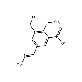 CN=Cc1cc(OC)c(OC)c([N+](=O)[O-])c1